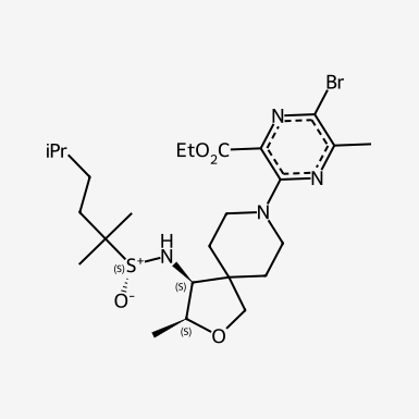 CCOC(=O)c1nc(Br)c(C)nc1N1CCC2(CC1)CO[C@@H](C)[C@H]2N[S@+]([O-])C(C)(C)CCC(C)C